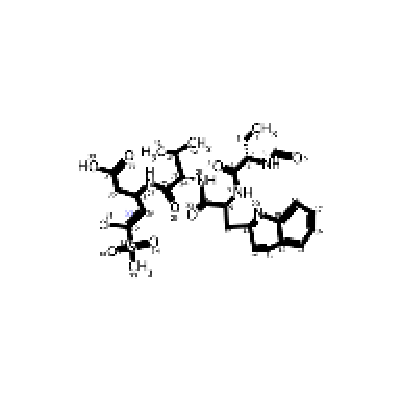 CC[C@H](NC=O)C(=O)NC(Cc1ccc2ccccc2n1)C(=O)N[C@H](C(=O)NC(/C=C(\Cl)S(C)(=O)=O)CC(=O)O)C(C)C